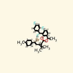 Cc1ccc(C(Br)=CC2C(C(=O)OC(C)c3ccc(F)c(C(F)c4ccc(F)cc4)c3)C2(C)C)cc1